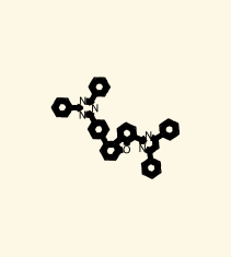 c1ccc(-c2cc(-c3ccccc3)nc(-c3cccc4c3oc3cccc(-c5ccc(-c6nc(-c7ccccc7)nc(-c7ccccc7)n6)cc5)c34)n2)cc1